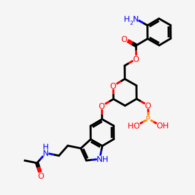 CC(=O)NCCc1c[nH]c2ccc(OC3CC(OP(O)O)CC(COC(=O)c4ccccc4N)O3)cc12